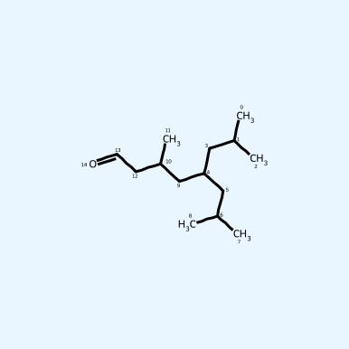 CC(C)CC(CC(C)C)CC(C)CC=O